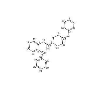 c1ccc(CN2CCC(NCc3ccccc3Sc3ccccc3)CC2)cc1